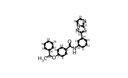 C[C@H](Oc1ccc(C(=O)Nc2cccc(-c3nn4ccnc4s3)c2)cc1)c1ccccc1